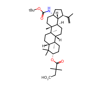 C=C(C)[C@@H]1CC[C@]2(NC(=O)OC(C)(C)C)CC[C@]3(C)[C@H](CC[C@@H]4[C@@]5(C)CC[C@H](OC(=O)C(C)(C)CC(=O)O)C(C)(C)[C@@H]5CC[C@]43C)[C@@H]12